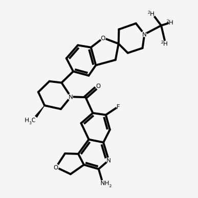 [2H]C([2H])([2H])N1CCC2(CC1)Cc1cc(C3CC[C@H](C)CN3C(=O)c3cc4c5c(c(N)nc4cc3F)COC5)ccc1O2